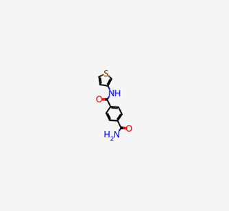 NC(=O)c1ccc(C(=O)Nc2ccsc2)cc1